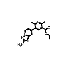 CCOC(=O)c1cc(-c2ccn3nc(N)nc3c2)c(C)nc1C